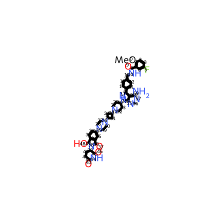 COc1ccc(F)cc1C(=O)NCc1ccc(-c2nn(C3CCN(C4CC(N5CCN(c6ccc7c(c6)C(=O)N(C6CCC(=O)NC6=O)C7O)CC5)C4)CC3)c3ncnc(N)c23)cc1